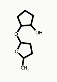 CC1CCC(OC2CCCC2O)O1